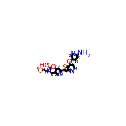 COCCN(Cc1ccc(-c2cc3nccc(Oc4ccc(N)nc4)c3s2)nc1)C(=O)O